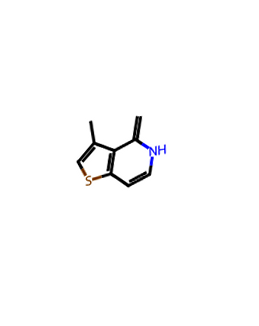 C=C1NC=Cc2scc(C)c21